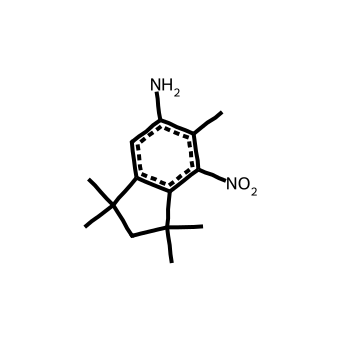 Cc1c(N)cc2c(c1[N+](=O)[O-])C(C)(C)CC2(C)C